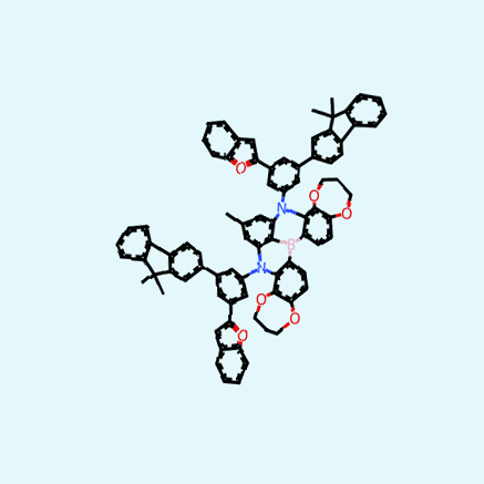 Cc1cc2c3c(c1)N(c1cc(-c4ccc5c(c4)C(C)(C)c4ccccc4-5)cc(-c4cc5ccccc5o4)c1)c1c(ccc4c1OCCCO4)B3c1ccc3c(c1N2c1cc(-c2ccc4c(c2)C(C)(C)c2ccccc2-4)cc(-c2cc4ccccc4o2)c1)OCCCO3